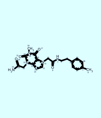 Cc1ccc(CCNC(=O)Cn2cnc3c2c(=O)n(C)c(=O)n3CC(N)=O)cc1